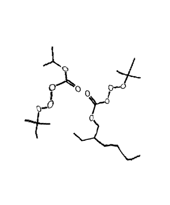 CC(C)OC(=O)OOOC(C)(C)C.CCCCC(CC)COC(=O)OOOC(C)(C)C